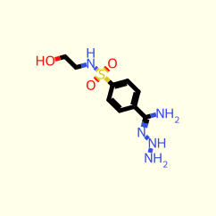 NN/N=C(\N)c1ccc(S(=O)(=O)NCCO)cc1